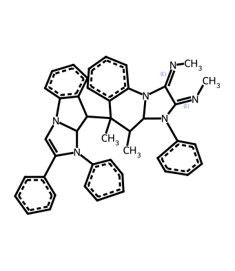 C/N=C1\C(=N/C)N2c3ccccc3C(C)(C3c4ccccc4N4C=C(c5ccccc5)N(c5ccccc5)C34)C(C)C2N1c1ccccc1